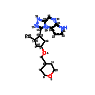 CC[C@@H]1C[C@H](OCC2CCOCC2)C[C@@H]1c1nnc2cnc3[nH]ccc3n12